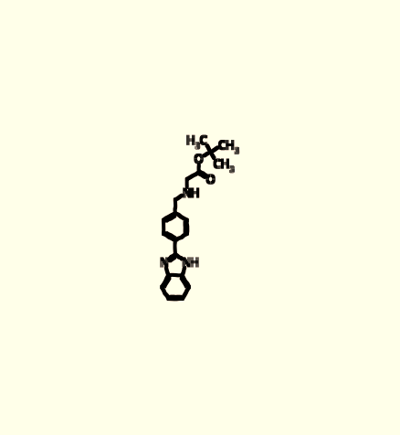 CC(C)(C)OC(=O)CNCc1ccc(-c2nc3ccccc3[nH]2)cc1